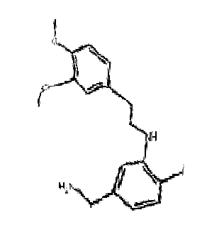 COc1ccc(CCNc2cc(CN)ccc2I)cc1OC